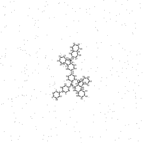 c1ccc(-c2ccc(N(c3ccc(-c4ccc5c(c4)c4ccccc4n5-c4ccc5ccccc5c4)cc3)c3cc4ccccc4c4c3oc3ccccc34)cc2)cc1